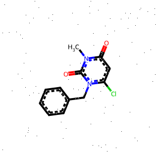 Cn1c(=O)cc(Cl)n(Cc2ccccc2)c1=O